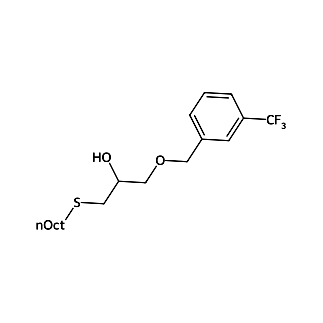 CCCCCCCCSCC(O)COCc1cccc(C(F)(F)F)c1